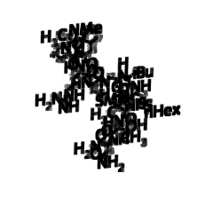 CCCCCCSSCC(NC(=O)C(NC(=O)CNC(=O)C(CCSC)NC(=O)C(CCCNC(=N)N)NC(=O)C(Cc1ccccc1)NC(=O)C1CCCN1C(=O)C(C)NC)C(C)CC)C(=O)NC(C(=O)NC(C(=O)NC(CC(N)=O)C(N)=O)C(C)O)C(C)O